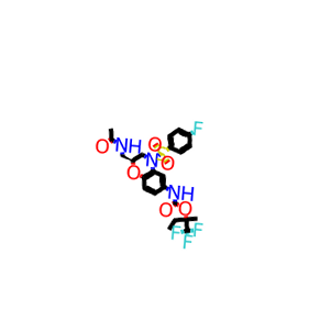 CCC(C)(OC(=O)Nc1ccc2c(c1)N(S(=O)(=O)c1ccc(F)cc1)C[C@H](CNC(C)=O)O2)C(F)(F)F